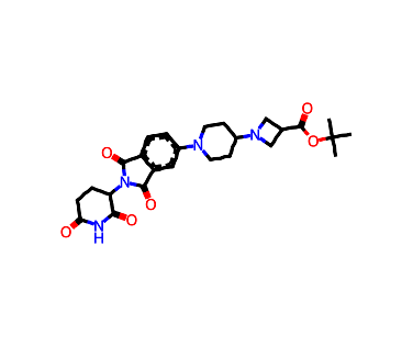 CC(C)(C)OC(=O)C1CN(C2CCN(c3ccc4c(c3)C(=O)N(C3CCC(=O)NC3=O)C4=O)CC2)C1